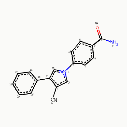 N#Cc1cn(-c2ccc(C(N)=O)cc2)cc1-c1ccccc1